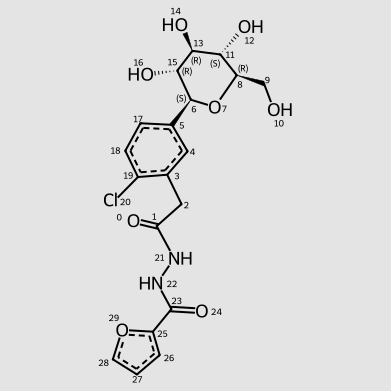 O=C(Cc1cc([C@@H]2O[C@H](CO)[C@@H](O)[C@H](O)[C@H]2O)ccc1Cl)NNC(=O)c1ccco1